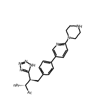 CCC[C@@H](C(C)=O)[C@H](Cc1ccc(-c2ccc(N3CCNCC3)nc2)cc1)c1nnn[nH]1